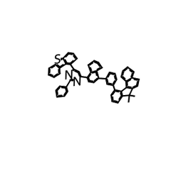 CC1(C)c2cccc(-c3cccc(-c4ccc(-c5cc(-c6cccc7sc8ccccc8c67)nc(-c6ccccc6)n5)c5ccccc45)c3)c2-c2c1ccc1ccccc21